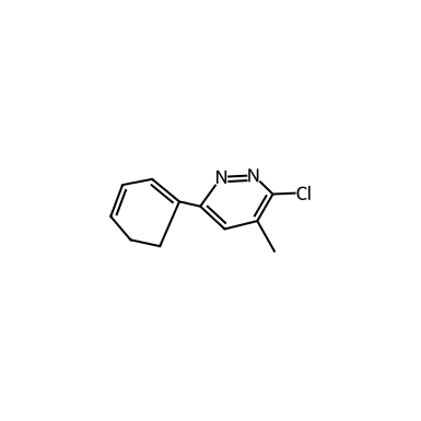 Cc1cc(C2=CC=CCC2)nnc1Cl